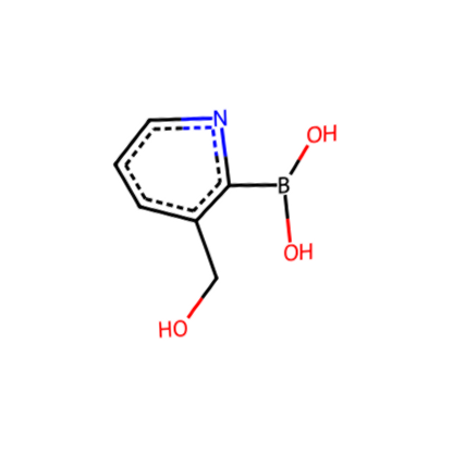 OCc1cccnc1B(O)O